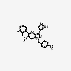 COc1ccc(Cn2nc(-c3cn[nH]c3)c3nc(-c4cccc(C)c4C)c(OC)cc32)cc1